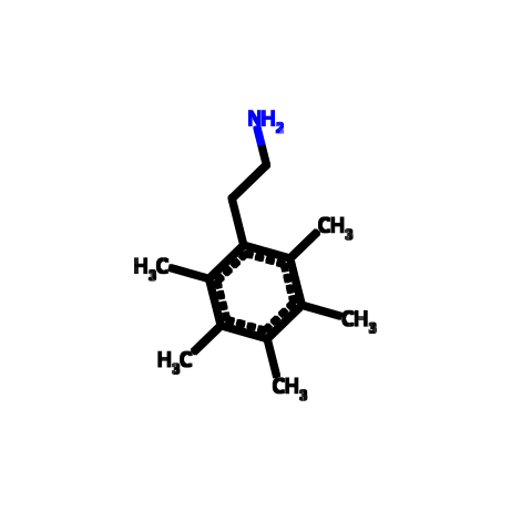 Cc1c(C)c(C)c(CCN)c(C)c1C